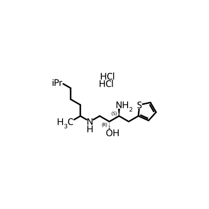 CC(C)CCCC(C)NC[C@@H](O)[C@@H](N)Cc1cccs1.Cl.Cl